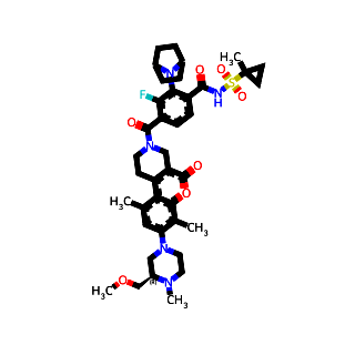 COC[C@H]1CN(c2cc(C)c3c4c(c(=O)oc3c2C)CN(C(=O)c2ccc(C(=O)NS(=O)(=O)C3(C)CC3)c(N3C5CCC3CC5)c2F)CC4)CCN1C